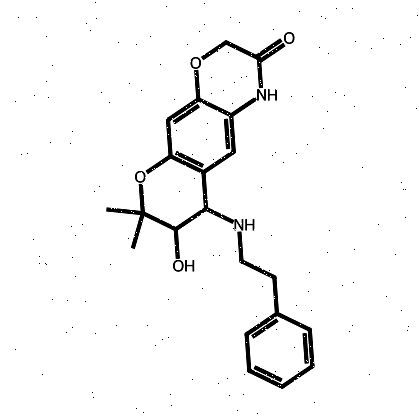 CC1(C)Oc2cc3c(cc2C(NCCc2ccccc2)C1O)NC(=O)CO3